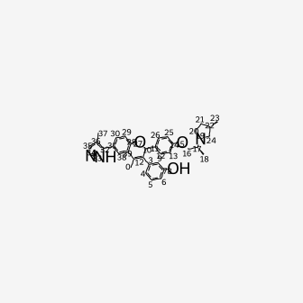 CC1=C(c2cccc(O)c2)C(c2ccc(OC[C@H](C)N3CC[C@@H](C)C3)cc2)Oc2ccc(-c3[nH]ncc3C)cc21